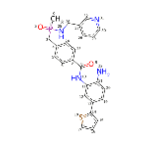 CP(=O)(Cc1ccc(C(=O)Nc2cc(-c3cccs3)ccc2N)cc1)NCc1cccnc1